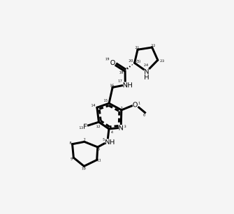 COc1nc(NC2CCCCC2)c(F)cc1CNC(=O)[C@@H]1CCCN1